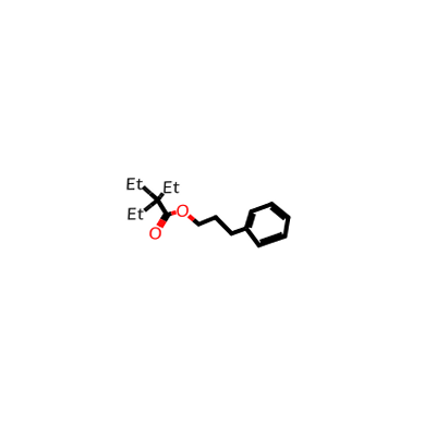 CCC(CC)(CC)C(=O)OCCCc1ccccc1